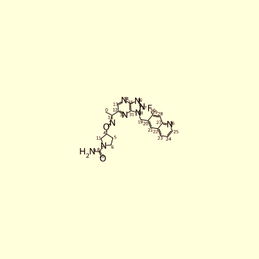 CC(=NO[C@H]1CCN(C(N)=O)C1)c1cnc2nnn(Cc3cc4cccnc4cc3F)c2n1